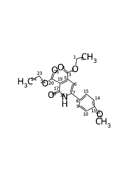 CCOC(=O)c1cc(-c2ccc(OC)cc2)[nH]c(=O)c1C(=O)OCC